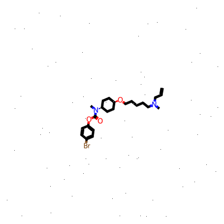 C=CCN(C)CCCCCO[C@H]1CC[C@H](N(C)C(=O)Oc2ccc(Br)cc2)CC1